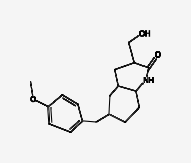 COc1ccc(CC2CCC3NC(=O)C(CO)CC3C2)cc1